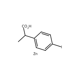 CC(C(=O)O)c1ccc(I)cc1.[Zn]